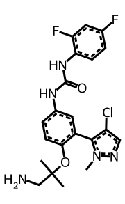 Cn1ncc(Cl)c1-c1cc(NC(=O)Nc2ccc(F)cc2F)ccc1OC(C)(C)CN